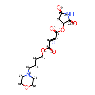 O=C1CC(OC(=O)/C=C/C(=O)OCCCCN2CCOCC2)C(=O)N1